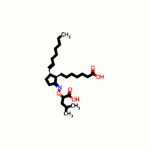 CCCCCCC=C[C@H]1CCC(=NOC(CC(C)C)C(=O)O)[C@@H]1CCCCCCC(=O)O